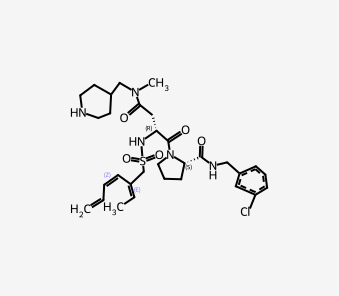 C=C/C=C\C(=C/C)CS(=O)(=O)N[C@H](CC(=O)N(C)CC1CCNCC1)C(=O)N1CCC[C@H]1C(=O)NCc1cccc(Cl)c1